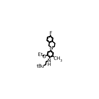 CCOc1cc(N2CCc3cc(F)ccc3C2)cc(C)c1NCCC(C)(C)C